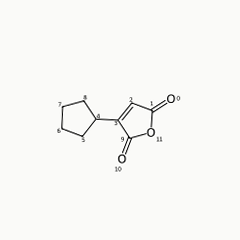 O=C1C=C(C2CCCC2)C(=O)O1